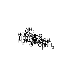 N=C(N)NC1C(O)[C@@H](CO)OC(OC2C(F)CC(N)(CO[C@H]3OC(CN)[C@@H](O)C(O)C3O)C[C@H]2NC(=O)[C@@H](O)CCN)[C@@H]1O